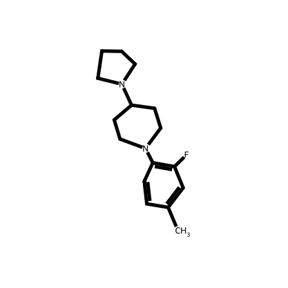 Cc1ccc(N2CCC(N3CCCC3)CC2)c(F)c1